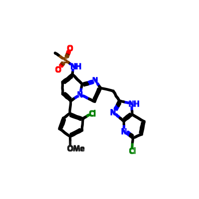 COc1ccc(-c2ccc(NS(C)(=O)=O)c3nc(Cc4nc5nc(Cl)ccc5[nH]4)cn23)c(Cl)c1